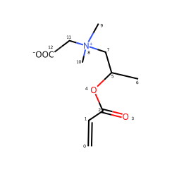 C=CC(=O)OC(C)C[N+](C)(C)CC(=O)[O-]